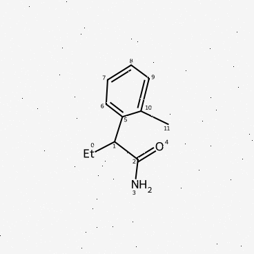 CCC(C(N)=O)c1ccccc1C